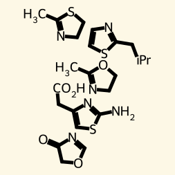 CC(C)Cc1nccs1.CC1=NCCO1.CC1=NCCS1.Nc1nc(CC(=O)O)cs1.O=C1COC=N1